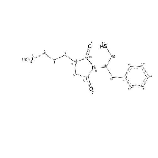 O=C(O)CCCN1CC(=O)N(C(CS)Cc2ccccc2)C1=O